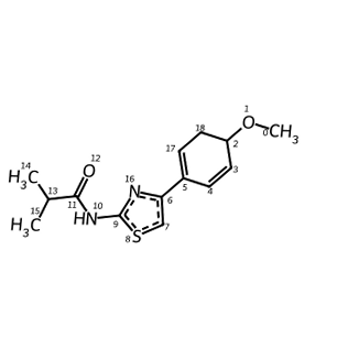 COC1C=CC(c2csc(NC(=O)C(C)C)n2)=CC1